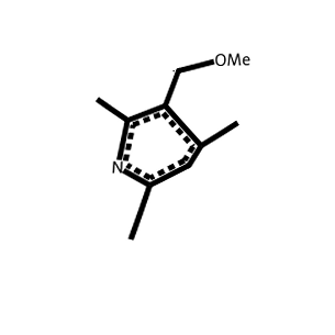 CO[CH]c1c(C)cc(C)nc1C